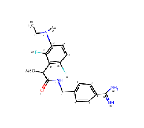 COC(C(=O)NCc1ccc(C(=N)N)cc1)c1c(F)ccc(N(CC(F)(F)F)C(C)=O)c1F